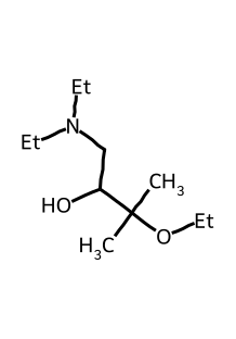 CCOC(C)(C)C(O)CN(CC)CC